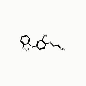 C=CCSc1ccc(Oc2ccccc2C(=O)O)cc1O